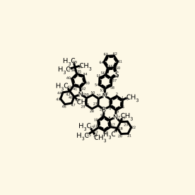 Cc1cc2c3c(c1)N1c4c(cc(C(C)(C)C)cc4C4(C)CCCCC14C)B3C1CCC(N3c4ccc(C(C)(C)C)cc4C4(C)CCCCC34C)CC1N2c1ccc2c(c1)sc1ccccc12